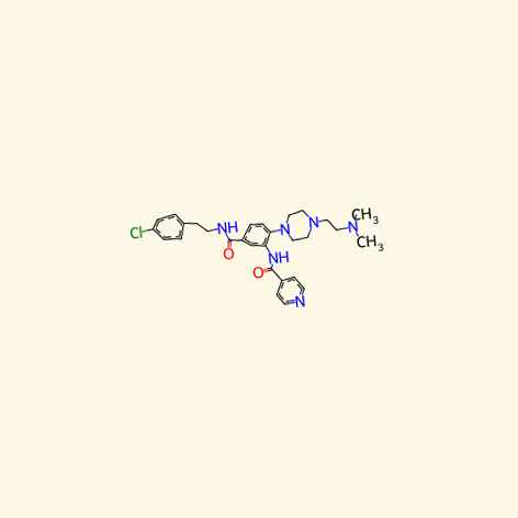 CN(C)CCN1CCN(c2ccc(C(=O)NCCc3ccc(Cl)cc3)cc2NC(=O)c2ccncc2)CC1